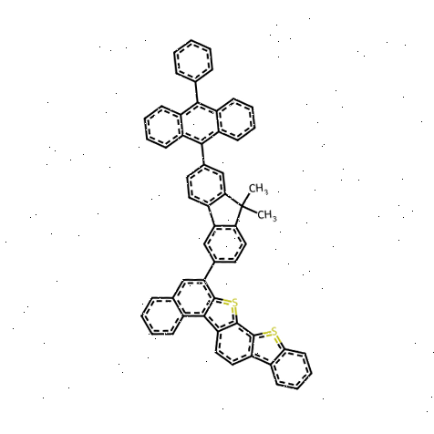 CC1(C)c2ccc(-c3cc4ccccc4c4c3sc3c4ccc4c5ccccc5sc43)cc2-c2ccc(-c3c4ccccc4c(-c4ccccc4)c4ccccc34)cc21